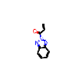 C=CC(=O)n1nc2ccccc2n1